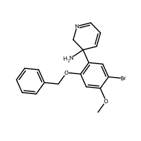 COc1cc(OCc2ccccc2)c(C2(N)C=CC=NC2)cc1Br